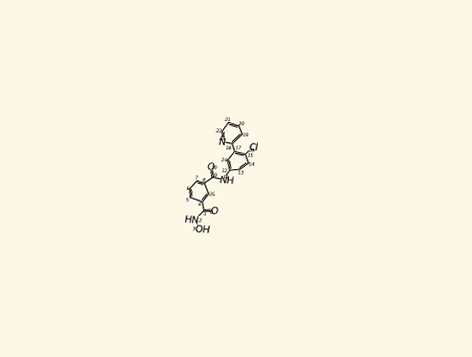 O=C(NO)c1cccc(C(=O)Nc2ccc(Cl)c(-c3ccccn3)c2)c1